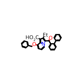 CCc1c(C(=O)O)c2c(OCc3ccccc3)cccn2c1C(=O)c1ccccc1-c1ccccc1